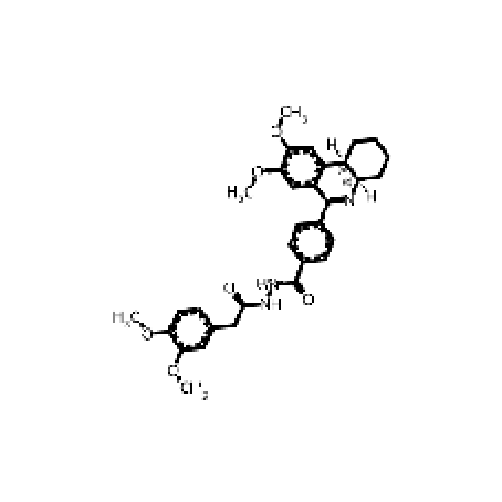 COc1ccc(CC(=O)NNC(=O)c2ccc(C3=N[C@@H]4CCCC[C@@H]4c4cc(OC)c(OC)cc43)cc2)cc1OC